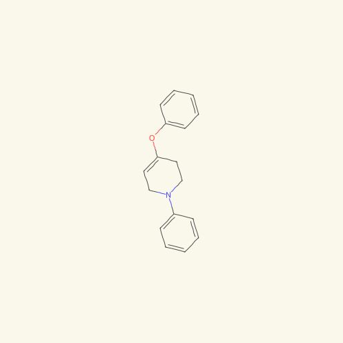 C1=C(Oc2ccccc2)CCN(c2ccccc2)C1